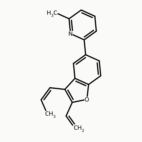 C=Cc1oc2ccc(-c3cccc(C)n3)cc2c1/C=C\C